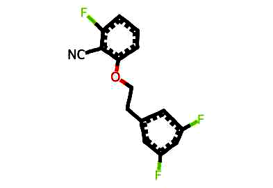 N#Cc1c(F)cccc1OCCc1cc(F)cc(F)c1